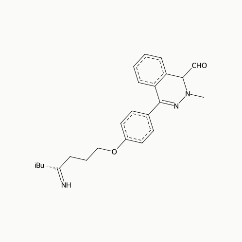 CC[C@@H](C)C(=N)CCCOc1ccc(C2=NN(C)C(C=O)c3ccccc32)cc1